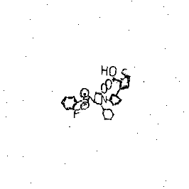 O=C(O)c1sccc1-c1cccc(N2C(=O)CN(S(=O)(=O)c3ccccc3F)CC2C2CCCCC2)c1